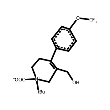 CC(C)(C)[N+]1(C(=O)[O-])CCC(c2ccc(OC(F)(F)F)cc2)=C(CO)C1